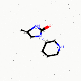 C[C@@H]1CN([C@H]2CCCNC2)C(=O)N1